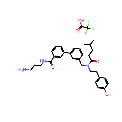 CC(C)CCC(=O)N(CCc1ccc(O)cc1)Cc1cccc(-c2cccc(C(=O)NCCCN)c2)c1.O=C(O)C(F)(F)F